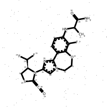 CC(Nc1ccc2c(c1F)OCCn1cc(N3C(=C=O)SC[C@H]3C(F)F)nc1-2)C(N)=O